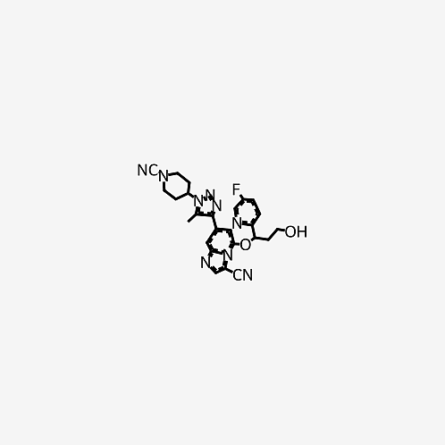 Cc1c(-c2cc(OC(CCO)c3ccc(F)cn3)n3c(C#N)cnc3c2)nnn1C1CCN(C#N)CC1